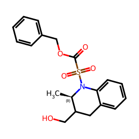 C[C@@H]1C(CO)Cc2ccccc2N1S(=O)(=O)C(=O)OCc1ccccc1